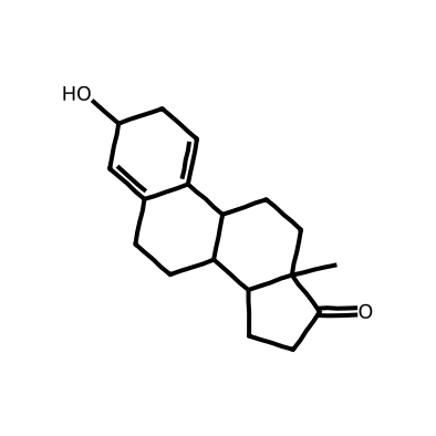 CC12CCC3C4=CCC(O)C=C4CCC3C1CCC2=O